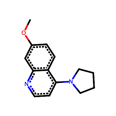 COc1ccc2c(N3CCCC3)ccnc2c1